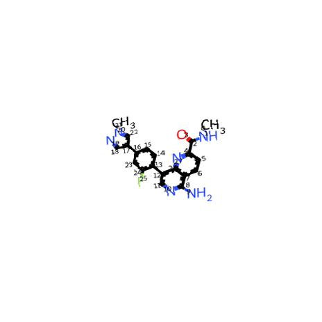 CNC(=O)c1ccc2c(N)ncc(-c3ccc(-c4cnn(C)c4)cc3F)c2n1